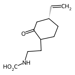 C=C[C@@H]1CCC(CCNC(=O)O)C(=O)C1